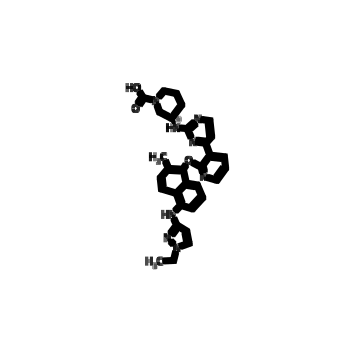 CCn1ccc(Nc2cccc3c(Oc4ncccc4-c4ccnc(N[C@H]5CCCN(C(=O)O)C5)n4)c(C)ccc23)n1